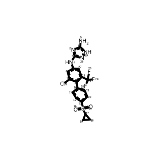 Nc1nc(Nc2cc(Cl)c(-c3ccc(S(=O)(=O)C4CC4)cc3)c(C(F)(F)F)c2)n[nH]1